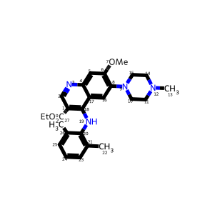 CCOC(=O)c1cnc2cc(OC)c(N3CCN(C)CC3)cc2c1Nc1c(C)cccc1C